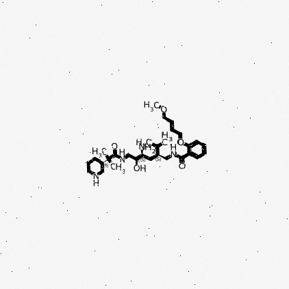 COCCCCOc1ccccc1C(=O)NC[C@@H](C[C@H](N)[C@@H](O)CNC(=O)C(C)(C)[C@H]1CCCNC1)C(C)C